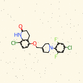 O=C1CCc2c(OCC3=CCN(c4c(F)cc(Cl)cc4F)CC3)ccc(Cl)c2N1